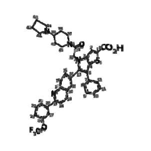 O=C(O)c1cc2c(s1)c(-c1ccccc1)c(-c1ccc3nc(-c4cccc(OC(F)(F)F)c4)ccc3c1)n2CC(=O)N1CCC(N2CCCC2)CC1